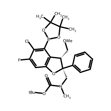 COC[C@H]1c2c(cc(F)c(Cl)c2B2OC(C)(C)C(C)(C)O2)O[C@]1(CN(C)C(=O)OC(C)(C)C)c1ccccc1